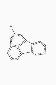 Fc1cc2c3c(cccc3c1)-c1ccccc1-2